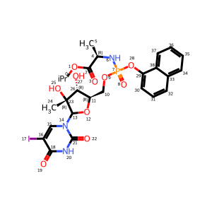 CC(C)OC(=O)[C@@H](C)NP(=O)(OC[C@H]1OC(n2cc(I)c(=O)[nH]c2=O)[C@](C)(O)[C@@H]1O)Oc1cccc2ccccc12